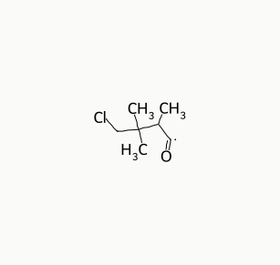 CC([C]=O)C(C)(C)CCl